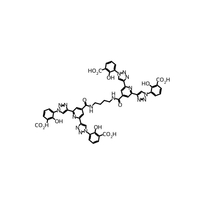 O=C(NCCCCNC(=O)c1cc(-c2cn(-c3cccc(C(=O)O)c3O)nn2)nc(-c2cn(-c3cccc(C(=O)O)c3O)nn2)c1)c1cc(-c2cn(-c3cccc(C(=O)O)c3O)nn2)nc(-c2cn(-c3cccc(C(=O)O)c3O)nn2)c1